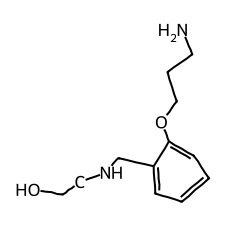 NCCCOc1ccccc1CNCCO